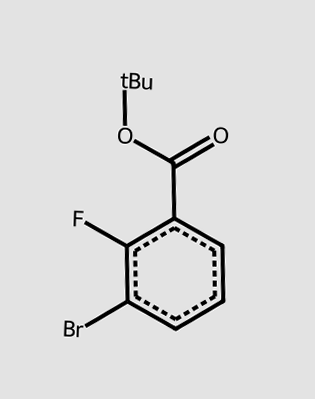 CC(C)(C)OC(=O)c1cccc(Br)c1F